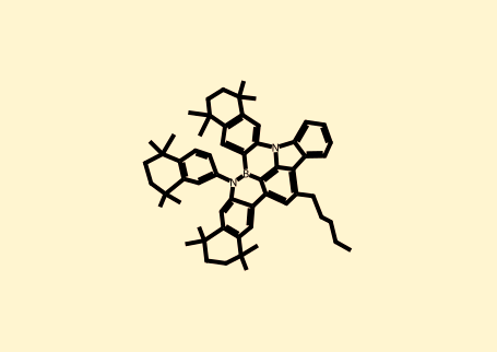 CCCCCc1cc2c3c4c1c1ccccc1n4-c1cc4c(cc1B3N(c1ccc3c(c1)C(C)(C)CCC3(C)C)c1cc3c(cc1-2)C(C)(C)CCC3(C)C)C(C)(C)CCC4(C)C